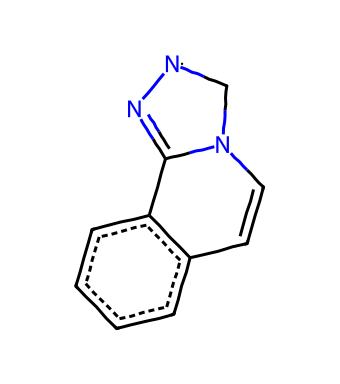 C1=CN2C[N]N=C2c2ccccc21